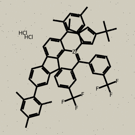 CCC1C=C(C(C)(C)C)C=[C]1[Zr](=[C](c1cccc(C(F)(F)F)c1)c1cccc(C(F)(F)F)c1)[c]1c(-c2c(C)cc(C)cc2C)ccc2c1Cc1cc(-c3c(C)cc(C)cc3C)ccc1-2.Cl.Cl